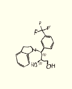 OC[C@@H](O)[C@H](c1cccc(C(F)(F)F)c1)N1CCc2ccccc21